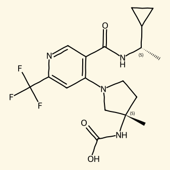 C[C@H](NC(=O)c1cnc(C(F)(F)F)cc1N1CC[C@](C)(NC(=O)O)C1)C1CC1